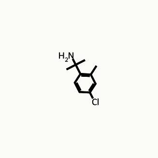 Cc1cc(Cl)ccc1C(C)(C)N